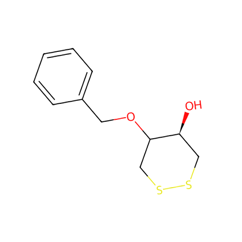 O[C@H]1CSSCC1OCc1ccccc1